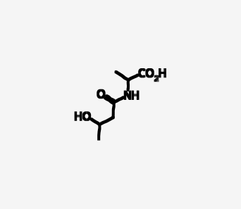 CC(O)CC(=O)NC(C)C(=O)O